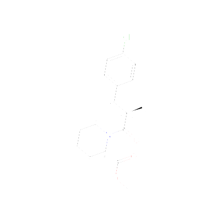 COC(=O)[C@@H]1CCCCN1C(=O)[C@H](C)Cc1ccc(Cl)cc1